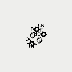 Cc1nc(C)c(C(=O)N2CCN(c3cc(F)c(C#N)cc3F)CC2)cc1CN1CCN(c2ccccc2C#N)CC1